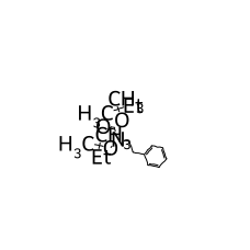 CCC(C)(C)OC(=O)N(CCc1ccccc1)OC(C)(C)CC